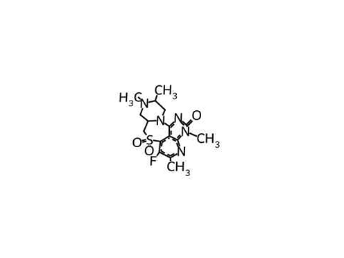 Cc1nc2c3c(nc(=O)n2C)N2CC(C)N(C)CC2CS(=O)(=O)c3c1F